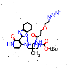 CC(CNC(=O)CCOCCN=[N+]=[N-])(CNC(=O)OC(C)(C)C)CNc1cc[nH]c(=O)c1-c1nc2c([nH]1)CCCC2